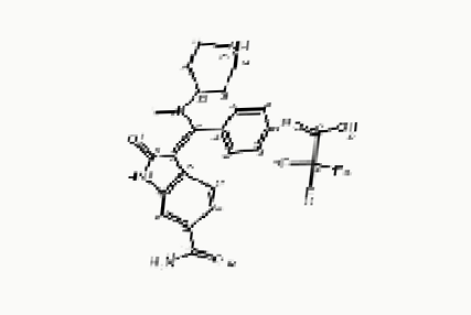 CN(/C(=C1\C(=O)Nc2cc(C(N)=O)ccc21)c1ccccc1)C1CCNCC1.O=C(O)C(F)(F)F